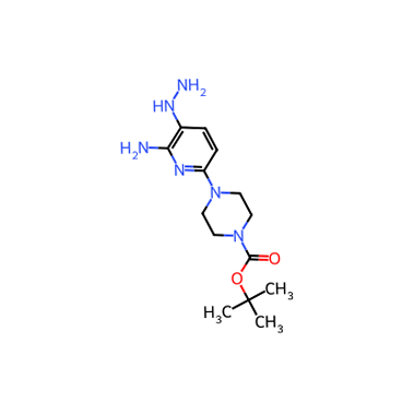 CC(C)(C)OC(=O)N1CCN(c2ccc(NN)c(N)n2)CC1